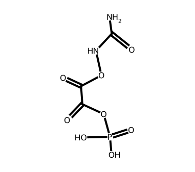 NC(=O)NOC(=O)C(=O)OP(=O)(O)O